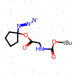 CC(C)(C)OC(=O)NCC(=O)OC1(N=[N+]=[N-])CCCC1